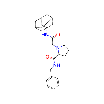 O=C(CN1CCC[C@H]1C(=O)NCc1ccccc1)NC12CC3CC(CC(C3)C1)C2